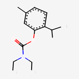 CCN(CC)C(=O)Oc1cc(C)ccc1C(C)C